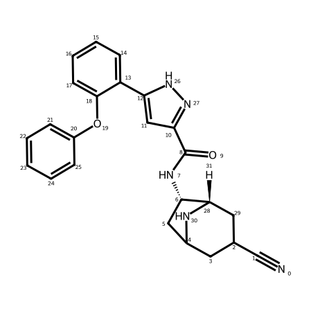 N#CC1CC2C[C@H](NC(=O)c3cc(-c4ccccc4Oc4ccccc4)[nH]n3)[C@H](C1)N2